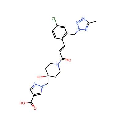 Cc1nnn(Cc2cc(Cl)ccc2C=CC(=O)N2CCC(O)(Cn3cc(C(=O)O)cn3)CC2)n1